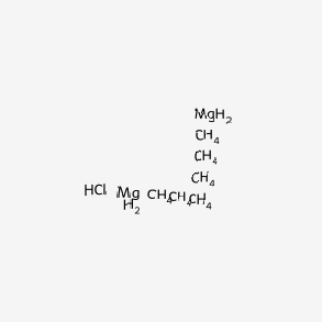 C.C.C.C.C.C.Cl.[MgH2].[MgH2]